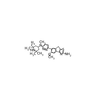 COc1cc2c(cc1-c1ccc(N(C)C3CC(C)(C)NC(C)(C)C3)nn1)Cc1sc(N)nc1-2